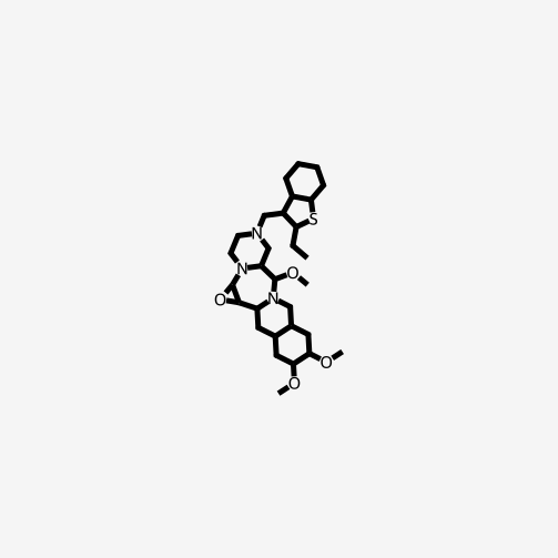 CCC1SC2CCCCC2C1CN1CCN2C(C1)C(OC)N1CC3CC(OC)C(OC)CC3CC1C1OC12